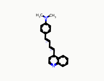 CN(C)c1ccc(/C=C/C=C/c2ccnc3ccccc23)cc1